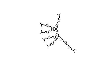 CC(C)CCOCCOCCOCC(COCCOCCC(C)C)(COCCOCCC(C)C)COCC(COCCOCCC(C)C)(COCCOCCC(C)C)COCCOCCC(C)C